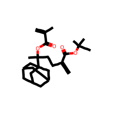 C=C(C)C(=O)OC(C)(CCC(=C)C(=O)OC(C)(C)C)C12CC3CC(CC(C3)C1)C2